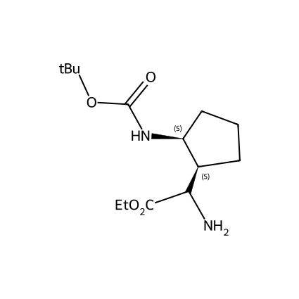 CCOC(=O)C(N)[C@@H]1CCC[C@@H]1NC(=O)OC(C)(C)C